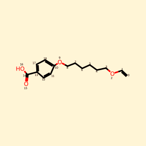 C=COCCCCCCOc1ccc(C(=O)O)cc1